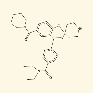 CCN(CC)C(=O)c1ccc(C2=CC3(CCNCC3)Oc3ccc(C(=O)N4CCCCC4)cc32)cc1